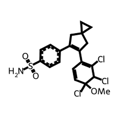 COC1(Cl)C=CC(C2=C(c3ccc(S(N)(=O)=O)cc3)CC3(CC3)C2)=C(Cl)C1Cl